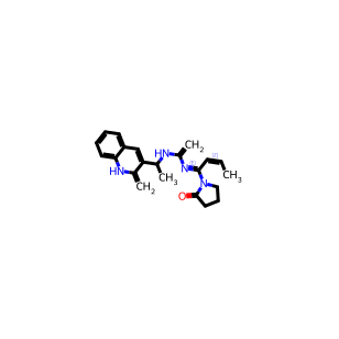 C=C(/N=C(\C=C/C)N1CCCC1=O)NC(C)C1=Cc2ccccc2NC1=C